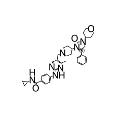 Cc1nc(Nc2ccc(C(=O)NC3CC3)cc2)ncc1CN1CCC(N2C(=O)N(C3CCOCC3)C[C@H]2c2ccccc2)CC1